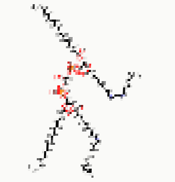 CCCCC/C=C\C/C=C\CCCCCCCC(=O)O[C@H](COC(=O)CCCCCCCCCCCCCCC)COP(=O)(O)OC[C@H](O)COP(=O)(O)OC[C@@H](COC(=O)CCCCCCC/C=C\CCCCCCCC)OC(=O)CCCCCCCCCCCCCCC